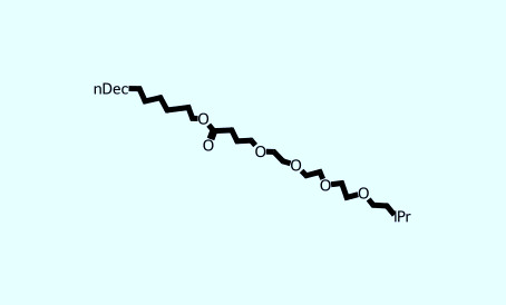 CCCCCCCCCCCCCCCCOC(=O)CCCOCCOCCOCCOCCC(C)C